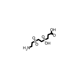 NCCS(=O)(=O)CCP(=O)(O)CCC(=O)O